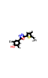 CCc1cc(-c2nnc(-c3cc(C)c(CC(C)C)s3)o2)cc(C)c1O